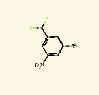 CCC1C=C([N+](=O)[O-])C=C(C(F)F)C1